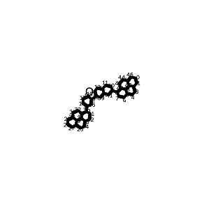 c1cc2ccc3ccc(-c4ccc5cc6oc7ccc(-c8ccc9ccc%10cccc%11ccc8c9c%10%11)cc7c6cc5c4)c4ccc(c1)c2c34